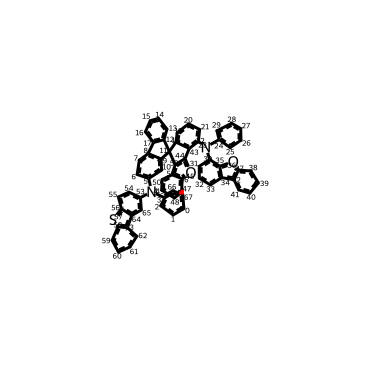 c1ccc(N(c2ccc3c(c2)C2(c4ccccc4-3)c3cccc(N(c4ccccc4)c4cccc5c4oc4ccccc45)c3-c3oc4ccccc4c32)c2ccc3sc4ccccc4c3c2)cc1